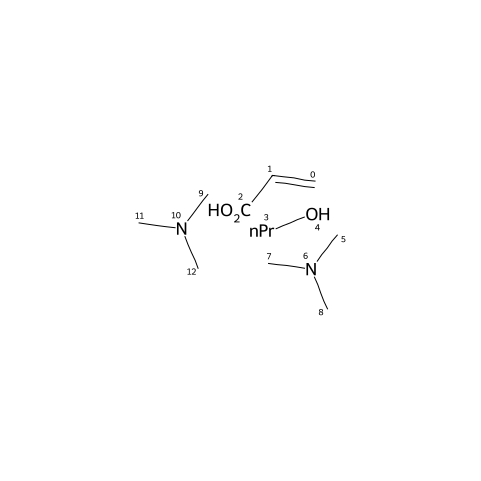 C=CC(=O)O.CCCO.CN(C)C.CN(C)C